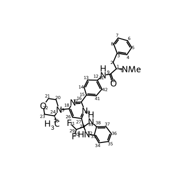 CN[C@H](Cc1ccccc1)C(=O)Nc1ccc(-c2nc(N3CCOC[C@@H]3C)cc(C3(C(F)F)Nc4ccccc4N3)n2)cc1